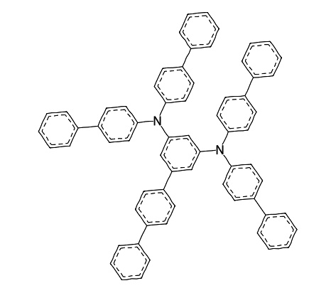 c1ccc(-c2ccc(-c3cc(N(c4ccc(-c5ccccc5)cc4)c4ccc(-c5ccccc5)cc4)cc(N(c4ccc(-c5ccccc5)cc4)c4ccc(-c5ccccc5)cc4)c3)cc2)cc1